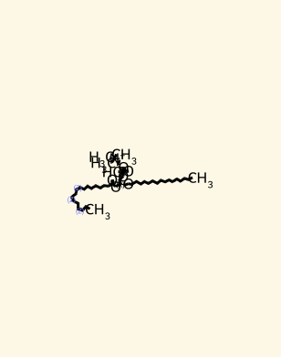 CC/C=C\C/C=C\C/C=C\CCCCCCCC(=O)O[C@H](COCCCCCCCCCCCCCCCC)COP(=O)(O)OCC[N+](C)(C)C